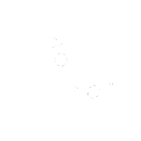 COc1cc(F)cc([C@@H](C)NC2CC[C@H](c3ccc(S(=O)(=O)NCCO)cc3)C2)c1